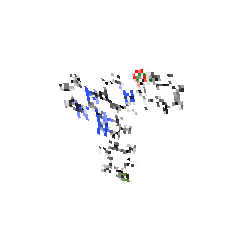 O=C(Cc1ccccc1Cl)N1CCCC(c2cc(-c3ccc(F)cc3)nn2-c2ncccn2)C1